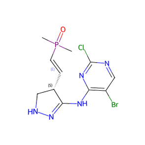 CP(C)(=O)/C=C/[C@H]1CNN=C1Nc1nc(Cl)ncc1Br